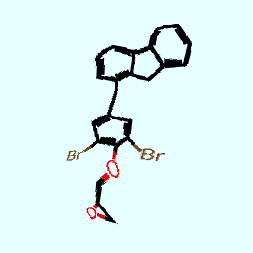 Brc1cc(-c2cccc3c2Cc2ccccc2-3)cc(Br)c1OCC1CO1